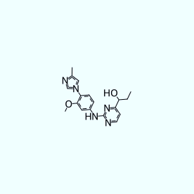 CCC(O)c1ccnc(Nc2ccc(-n3cnc(C)c3)c(OC)c2)n1